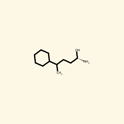 CC(CC[C@@H](N)O)C1CCCCC1